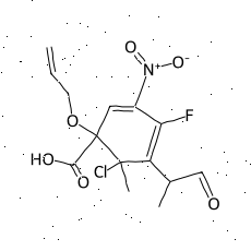 C=CCOC1(C(=O)O)C=C([N+](=O)[O-])C(F)=C(C(C)C=O)C1(C)Cl